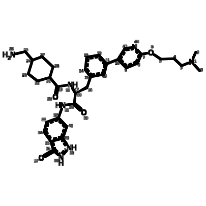 CN(C)CCCOc1ccc(-c2cccc(C[C@H](NC(=O)C3CCC(CN)CC3)C(=O)Nc3ccc4c(=O)[nH][nH]c4c3)c2)cn1